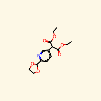 CCOC(=O)C(C(=O)OCC)c1ccc(C2OCCO2)nc1